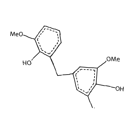 [CH2]c1cc(Cc2cccc(OC)c2O)cc(OC)c1O